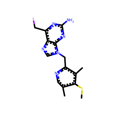 CSc1c(C)cnc(Cn2cnc3c(CI)nc(N)nc32)c1C